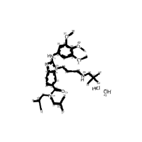 COc1cc(Nc2nc3ccc(C(=O)N(CC(C)C)CC(C)C)cc3n2CCCNCC(C)(C)C)cc(OC)c1OC.Cl.Cl